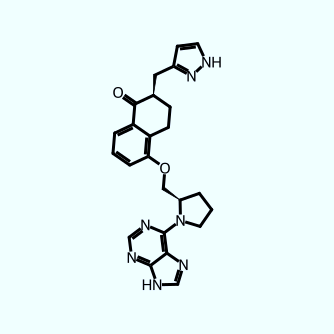 O=C1c2cccc(OC[C@H]3CCCN3c3ncnc4[nH]cnc34)c2CC[C@@H]1Cc1cc[nH]n1